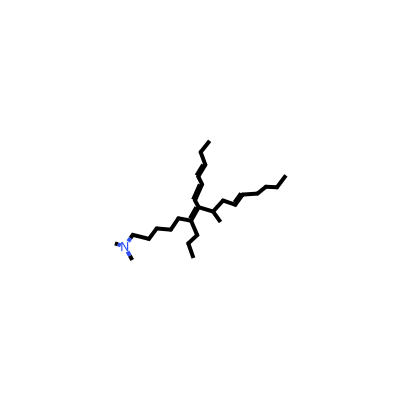 CC/C=C/C=C/C(=C(/CCC)CCCCCN(C)C)C(C)C/C=C/CCCC